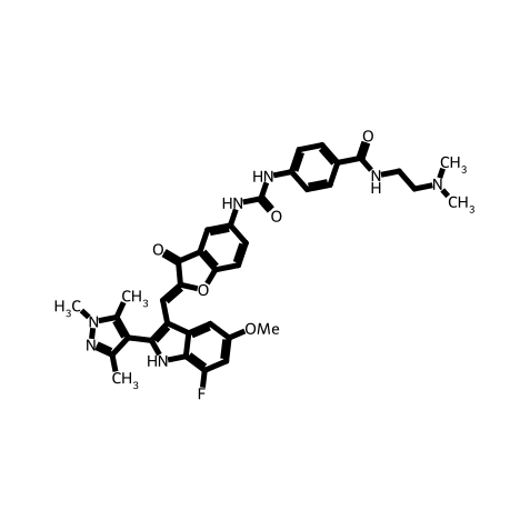 COc1cc(F)c2[nH]c(-c3c(C)nn(C)c3C)c(C=C3Oc4ccc(NC(=O)Nc5ccc(C(=O)NCCN(C)C)cc5)cc4C3=O)c2c1